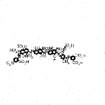 Cc1cc(N=Nc2c(S(=O)(=O)O)cc3c(S(=O)(=O)O)c(N=Nc4c(S(=O)(=O)O)cc5c(S(=O)(=O)O)c(N=Nc6cc(S(=O)(=O)O)c7cc(S(=O)(=O)O)c(N=Nc8ccc([N+](=O)[O-])cc8S(=O)(=O)O)c(O)c7c6N)ccc5c4O)ccc3c2O)c(OCCCS(=O)(=O)O)cc1N=Nc1cc(C(=O)O)cc(C(=O)O)c1